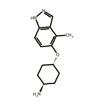 Cc1c(O[C@H]2CC[C@H](N)CC2)ccc2[nH]ncc12